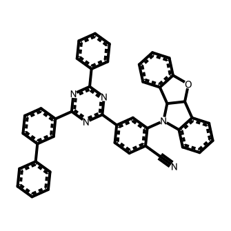 N#Cc1ccc(-c2nc(-c3ccccc3)nc(-c3cccc(-c4ccccc4)c3)n2)cc1N1c2ccccc2C2Oc3ccccc3C21